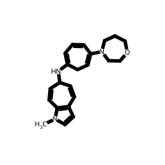 Cn1ccc2c1C=CC(NC1=CC=CC(N3CCCOCC3)=CC1)C=C2